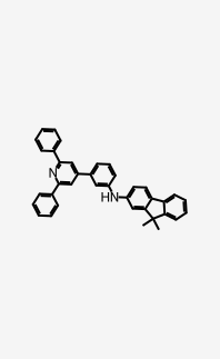 CC1(C)c2ccccc2-c2ccc(Nc3cccc(-c4cc(-c5ccccc5)nc(-c5ccccc5)c4)c3)cc21